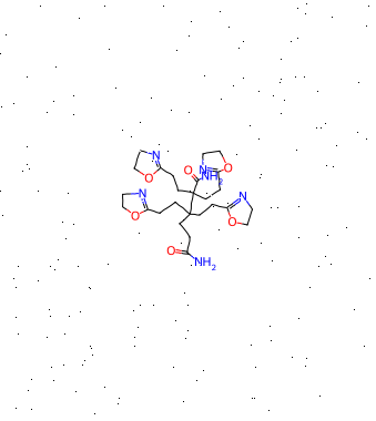 NC(=O)CCC(CCC1=NCCO1)(CCC1=NCCO1)C(CCC1=NCCO1)(CCC1=NCCO1)C(N)=O